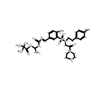 CC(=O)OC(C)(C)C(=O)OC(N)OC(=O)N=Cc1ccc(O)c(S(=O)(=O)N(CCc2ccc(C(C)C)cc2)CC(=O)N2CCOCC2)c1